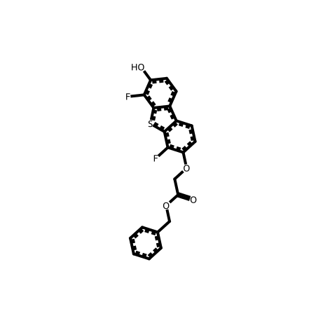 O=C(COc1ccc2c(sc3c(F)c(O)ccc32)c1F)OCc1ccccc1